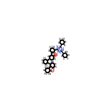 c1ccc(-c2nc(-c3ccccc3)nc(-c3cccc4c3oc3ccc(-c5ccccc5-c5cccc6oc7ccccc7c56)cc34)n2)cc1